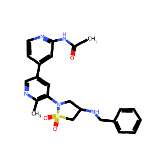 CC(=O)Nc1cc(-c2cnc(C)c(N3CC(NCc4ccccc4)CS3(=O)=O)c2)ccn1